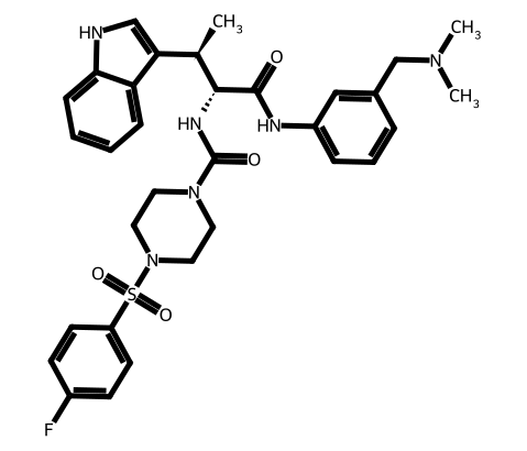 C[C@H](c1c[nH]c2ccccc12)[C@@H](NC(=O)N1CCN(S(=O)(=O)c2ccc(F)cc2)CC1)C(=O)Nc1cccc(CN(C)C)c1